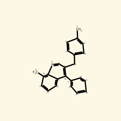 Cc1ccc(Cc2cnc3c(C(F)(F)F)cccc3c2-c2ccccc2)cc1